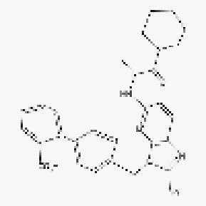 CCCc1nc2ccc(NC(C)C(=O)C3CCCCC3)nc2n1Cc1ccc(-c2ccccc2C(=O)O)cc1